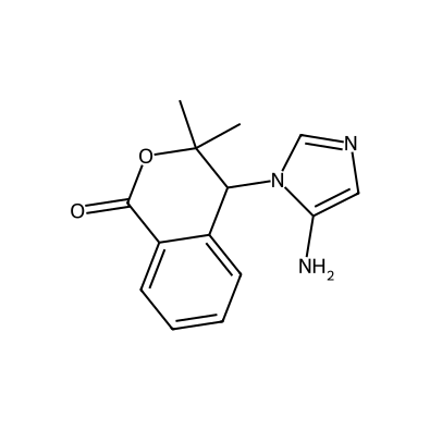 CC1(C)OC(=O)c2ccccc2C1n1cncc1N